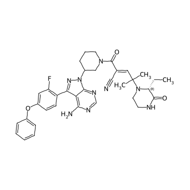 CC[C@@H]1C(=O)NCCN1C(C)(C)C=C(C#N)C(=O)N1CCCC(n2nc(-c3ccc(Oc4ccccc4)cc3F)c3c(N)ncnc32)C1